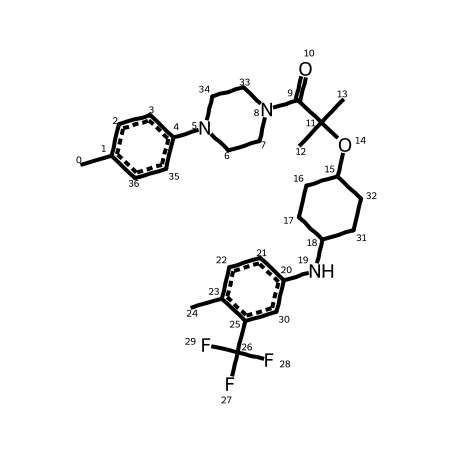 Cc1ccc(N2CCN(C(=O)C(C)(C)OC3CCC(Nc4ccc(C)c(C(F)(F)F)c4)CC3)CC2)cc1